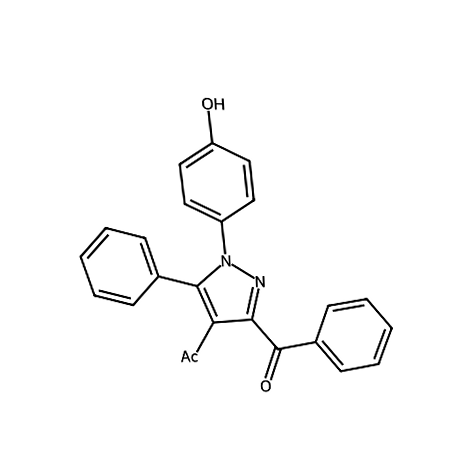 CC(=O)c1c(C(=O)c2ccccc2)nn(-c2ccc(O)cc2)c1-c1ccccc1